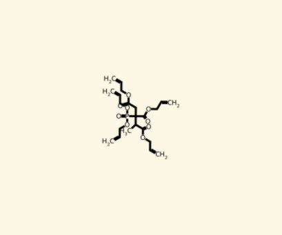 C=CCOC(=O)CC(C(=O)OCC=C)(C(C)C(=O)OCC=C)P(=O)(OCC=C)OCC=C